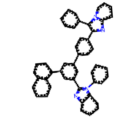 c1ccc(-c2c(-c3ccc(-c4cc(-c5cccc6ccccc56)cc(-c5nc6ccccc6n5-c5ccccc5)c4)cc3)nc3ccccn23)cc1